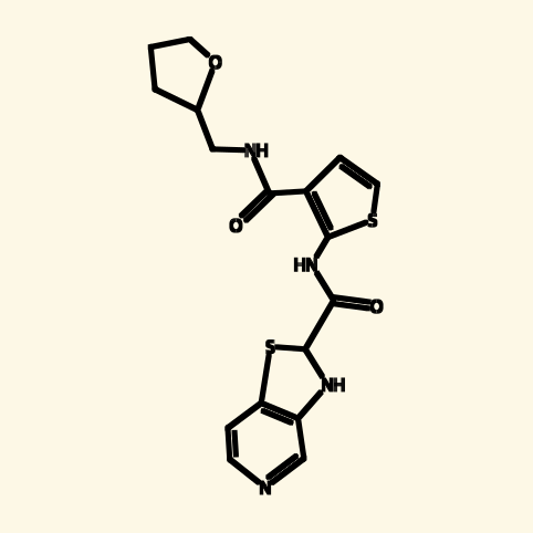 O=C(NCC1CCCO1)c1ccsc1NC(=O)C1Nc2cnccc2S1